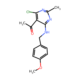 COc1ccc(CNc2nc(C)nc(Cl)c2C(C)=O)cc1